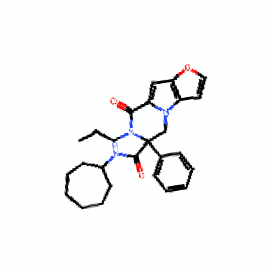 CCCN1C(=O)c2cc3occc3n2CC1(C(=O)NC1CCCCCC1)c1ccccc1